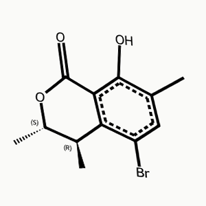 Cc1cc(Br)c2c(c1O)C(=O)O[C@@H](C)[C@@H]2C